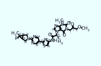 COCC(=O)Cn1c(=O)c2c(ncn2[C@@H](C)C(=O)Nc2csc(-c3cnc(N4CC5C(C4)C5(C)F)nc3)n2)n(C)c1=O